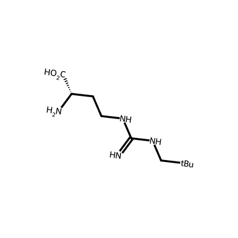 CC(C)(C)CNC(=N)NCC[C@H](N)C(=O)O